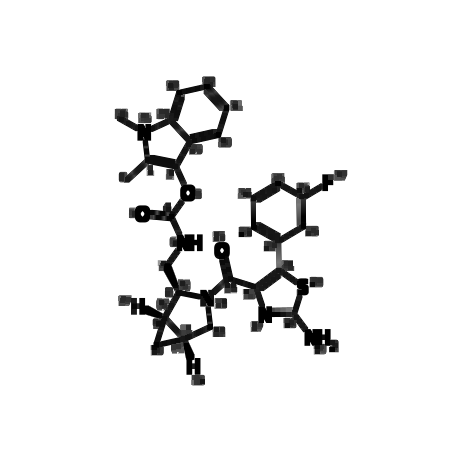 Cc1c(OC(=O)NC[C@@H]2[C@H]3C[C@H]3CN2C(=O)c2nc(N)sc2-c2cccc(F)c2)c2ccccc2n1C